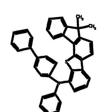 CC1(C)c2ccccc2-c2c1ccc1c2sc2c(N(c3ccccc3)c3ccc(-c4ccccc4)cc3)cccc21